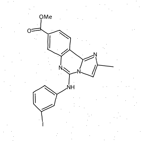 COC(=O)c1ccc2c(c1)nc(Nc1cccc(I)c1)n1cc(C)nc21